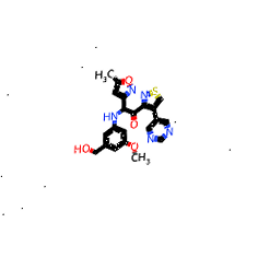 COc1cc(CO)cc(NC(C(=O)c2nscc2-c2cncnc2)c2cc(C)on2)c1